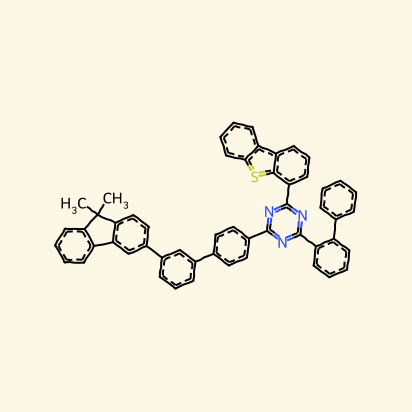 CC1(C)c2ccccc2-c2cc(-c3cccc(-c4ccc(-c5nc(-c6ccccc6-c6ccccc6)nc(-c6cccc7c6sc6ccccc67)n5)cc4)c3)ccc21